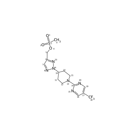 CS(=O)(=O)OCc1cnn(C2CCN(c3ncc(C(F)(F)F)cn3)CC2)n1